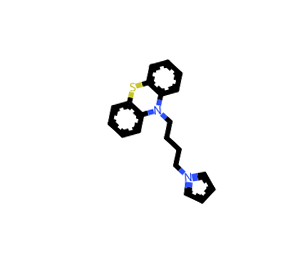 c1ccc2c(c1)Sc1ccccc1N2CCCCn1cccc1